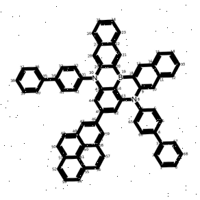 c1ccc(-c2ccc(N3c4cc5ccccc5cc4B4c5cc6ccccc6cc5N(c5ccc(-c6ccccc6)cc5)c5cc(-c6cc7ccc8cccc9ccc(c6)c7c89)cc3c54)cc2)cc1